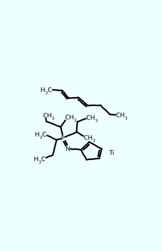 CC=CC=CCCC.CCC(C)P(=NC1=CC=CC1)(C(C)CC)C(C)CC.[Ti]